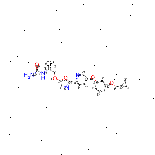 C[C@@H](COc1cnc(-c2ccc(Oc3cccc(OCC4CC4)c3)cn2)o1)NC(N)=O